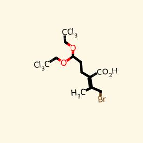 C/C(CBr)=C(\CCC(OCC(Cl)(Cl)Cl)OCC(Cl)(Cl)Cl)C(=O)O